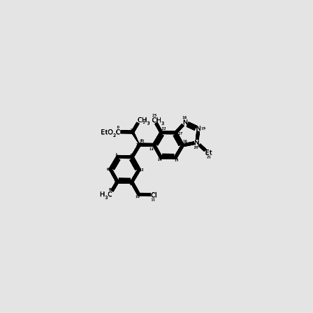 CCOC(=O)C(C)[C@H](c1ccc(C)c(CCl)c1)c1ccc2c(nnn2CC)c1C